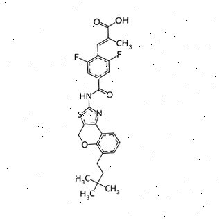 CC(=Cc1c(F)cc(C(=O)Nc2nc3c(s2)COc2c(CCC(C)(C)C)cccc2-3)cc1F)C(=O)O